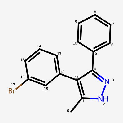 Cc1[nH]nc(-c2ccccc2)c1-c1cccc(Br)c1